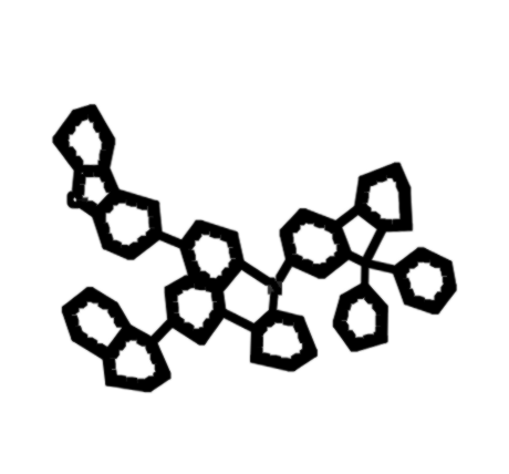 c1ccc(C2(c3ccccc3)c3ccccc3-c3ccc(N(c4ccc(-c5ccc6oc7ccccc7c6c5)cc4)c4ccccc4-c4cccc(-c5cccc6ccccc56)c4)cc32)cc1